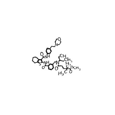 CCC(CC)N(Cc1cccc(C(=O)Nc2sc3c(c2C(=O)Nc2ccc(CCN4CCOCC4)cc2)CCCC3)c1)C(=O)CCC(C)(C)C(=O)OC